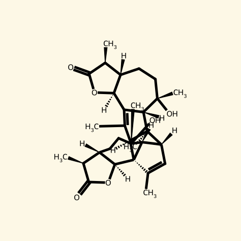 CC1=C[C@@H]2[C@@H]3[C@@]1([C@H]1OC(=O)[C@@H](C)[C@@H]1CC[C@]3(C)O)[C@H]1C(C)=C3[C@H]4OC(=O)[C@@H](C)[C@@H]4CC[C@](C)(O)[C@@H]3[C@@]21C